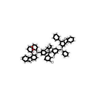 Clc1cccc2c1Oc1cc(N(c3ccccc3)c3cc(-c4ccccc4)c4oc5ccccc5c4c3)ccc1C21c2ccccc2-c2cc(N(c3ccccc3)c3ccc4sc5ccccc5c4c3-c3ccccc3)ccc21